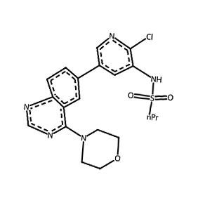 CCCS(=O)(=O)Nc1cc(-c2ccc3ncnc(N4CCOCC4)c3c2)cnc1Cl